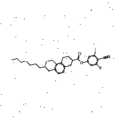 CCCCCCCC1CCc2c(ccc3c2CCC(C(=O)Oc2cc(F)c(C#N)c(F)c2)C3)C1